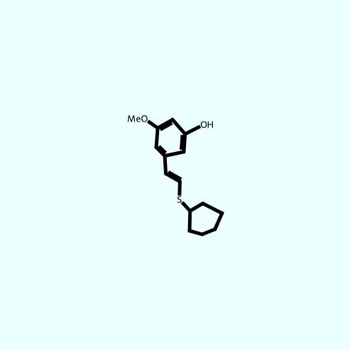 COc1cc(O)cc(/C=C/SC2CCCCC2)c1